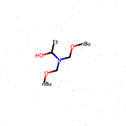 CCCCOCN(COCCCC)C(O)CC